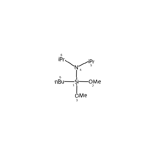 CCCC[Si](OC)(OC)N(C(C)C)C(C)C